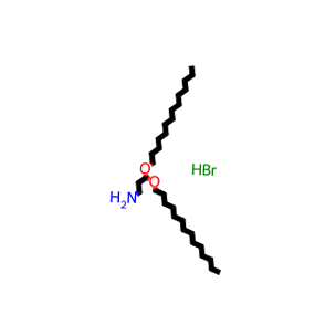 Br.CCCCCCCCCCCCCCOC(CCN)OCCCCCCCCCCCCCC